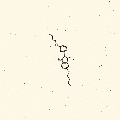 CCCCOc1cccc(C2Nc3ccc(OCCCC)cc3C2C)c1